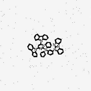 c1ccc([Si](c2ccccc2)(c2cccc(-n3c4ccccc4n4c5ccccc5nc34)c2)c2nc(-n3c4ccccc4c4ccccc43)cc(-n3c4ccccc4c4ccccc43)n2)cc1